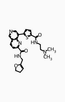 CN(C)CCNC(=O)c1ccc(-c2cncc3ccc(C(=O)NCC4=CCCO4)nc23)s1